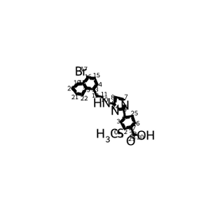 CSc1cc(-c2nccc(NCCc3ccc(Br)c4ccccc34)n2)ccc1C(=O)O